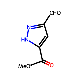 COC(=O)c1cc(C=O)n[nH]1